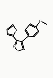 COc1ccc(C2=N[N]N=C2c2cccs2)cc1